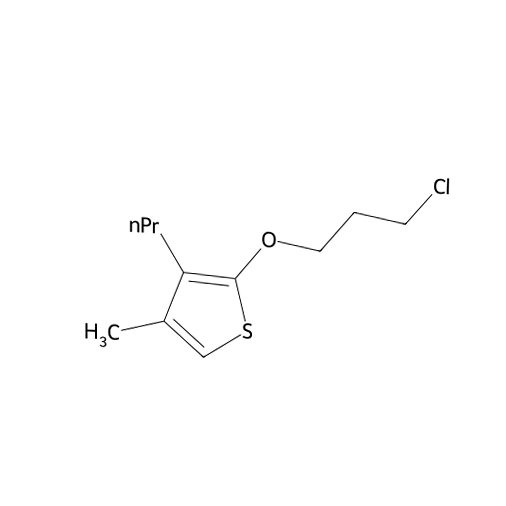 CCCc1c(C)csc1OCCCCl